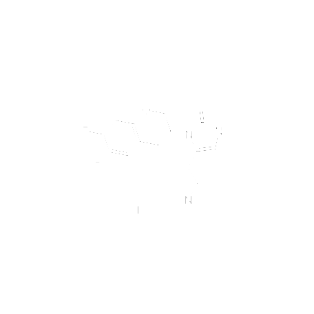 Cl.NCCc1c[nH]c(=S)n1[C@H]1COc2cc(F)c(F)cc2C1